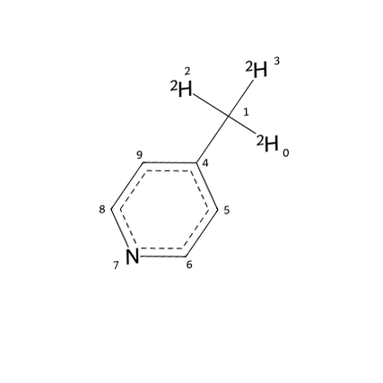 [2H]C([2H])([2H])c1ccncc1